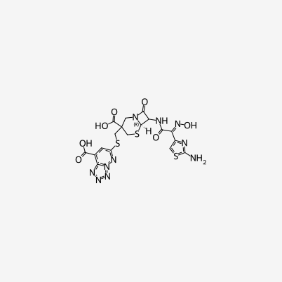 Nc1nc(C(=NO)C(=O)NC2C(=O)N3CC(CSc4cc(C(=O)O)c5nnnn5n4)(C(=O)O)CS[C@H]23)cs1